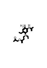 C=C(C)Nc1cc(N(CC)CCC(=C)OCC(C)=O)c(CC)cc1N